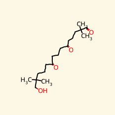 CC(C)(C=O)CCCC(=O)CCCC(=O)CCCC(C)(C)CO